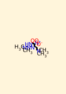 CN(C)C=Cc1nc(N=CN(C)C)[nH]c(=O)c1[N+](=O)[O-]